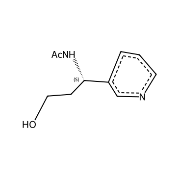 CC(=O)N[C@@H](CCO)c1cccnc1